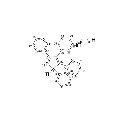 Cl.Cl.Cl.[Ti][C]1(c2ccccc2)P=C(c2ccccc2)C(c2ccccc2)=C1c1ccccc1